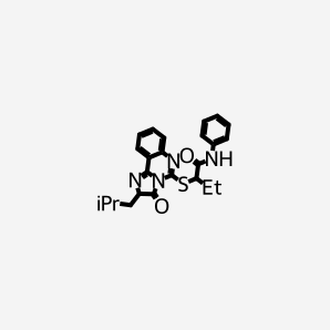 CCC(SC1=Nc2ccccc2C2=NC(CC(C)C)C(=O)N12)C(=O)Nc1ccccc1